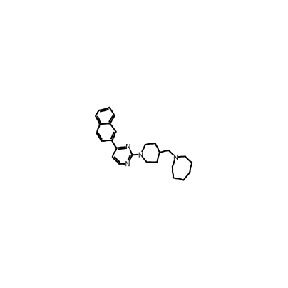 c1ccc2cc(-c3ccnc(N4CCC(CN5CCCCCC5)CC4)n3)ccc2c1